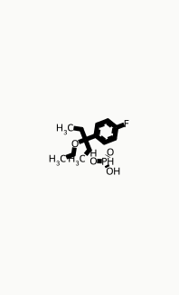 CCOC(CC)(CC)c1ccc(F)cc1.O=[PH](O)O